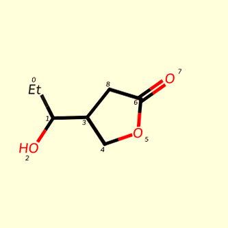 CCC(O)C1COC(=O)C1